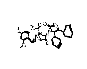 COC(=O)[C@@H]1[C@H](n2c(-c3ccccc3)c(-c3ccccc3)oc2=O)C(=O)N1Cc1ccc(OC)cc1OC